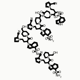 N#Cc1cccn1CCC(C(=O)N1CCC(CO)CC1)n1ccc2c(S(N)(=O)=O)cccc21.N#Cc1cccn1CCC(C(=O)N1CCCC(CO)C1)n1ccc2c(S(N)(=O)=O)cccc21.N#Cc1cccn1CCC(C(=O)N1CCCCC1CO)n1ccc2c(S(N)(=O)=O)cccc21.N#Cc1cccn1CCC(NS(=O)(=O)c1cccc2[nH]ccc12)C(=O)N1CCNC(=O)CC1